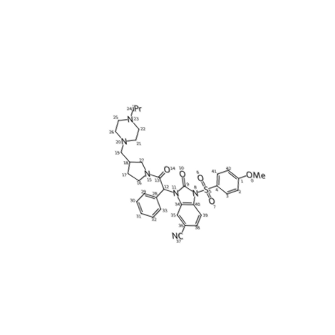 COc1ccc(S(=O)(=O)n2c(=O)n(C(C(=O)N3CCC(CN4CCN(C(C)C)CC4)C3)c3ccccc3)c3cc(C#N)ccc32)cc1